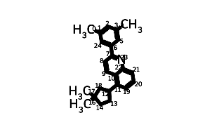 Cc1cc(C)cc(-c2ccc3c(C4CCC(C)(C)C4)cccc3n2)c1